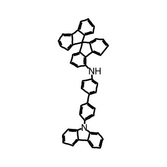 c1ccc2c(c1)-c1ccccc1C21c2ccccc2-c2c(Nc3ccc(-c4ccc(-n5c6ccccc6c6ccccc65)cc4)cc3)cccc21